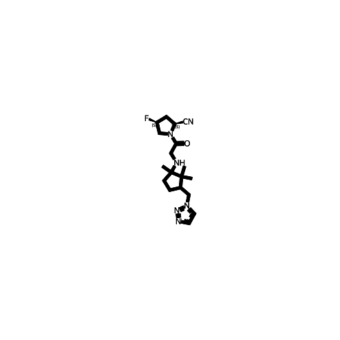 CC1(NCC(=O)N2C[C@@H](F)C[C@H]2C#N)CCC(Cn2ccnn2)C1(C)C